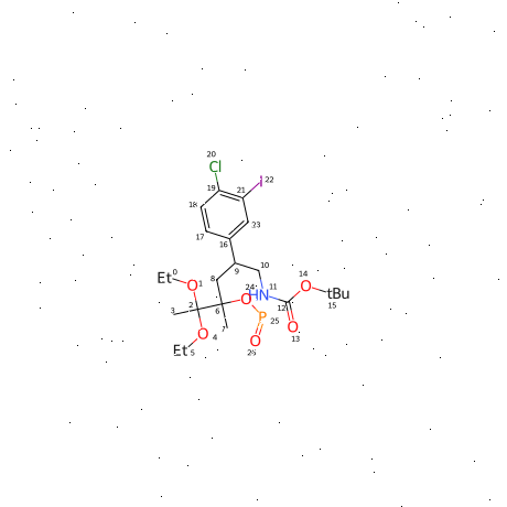 CCOC(C)(OCC)C(C)(CC(CNC(=O)OC(C)(C)C)c1ccc(Cl)c(I)c1)OP=O